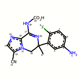 CC1(c2cc(N)ccc2F)Cn2c(C#N)cnc2C(NC(=O)O)=N1